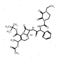 CCN1CCN(C(=O)NC(C(=O)N[C@@H]2C(=O)N3C(C(=O)OC(C)(C)C)=C(C(N)OC(C)=O)CS[C@H]23)c2ccccc2)C(=O)C1=O